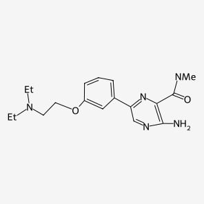 CCN(CC)CCOc1cccc(-c2cnc(N)c(C(=O)NC)n2)c1